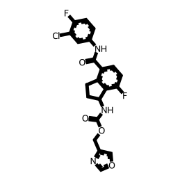 O=C(NC1CCc2c(C(=O)Nc3ccc(F)c(Cl)c3)ccc(F)c21)OCc1cocn1